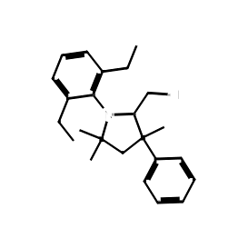 CCc1cccc(CC)c1N1C(CCl)C(C)(c2ccccc2)CC1(C)C